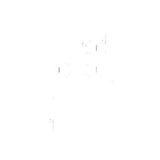 CCS(=O)(=O)c1ccc(Oc2cccc(OCCOC3CCNCC3)c2)c(-c2cn(C)c(=O)c3[nH]ccc23)c1